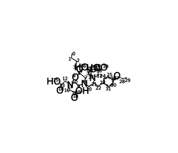 CCCCOC(=O)CN(CCN(CC(=O)O)CC(=O)O)C[C@H](Cc1ccc(OCC)cc1)N(CC(=O)O)CC(=O)O